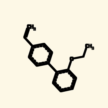 C=Cc1ccc(-c2ccccc2OCC)cc1